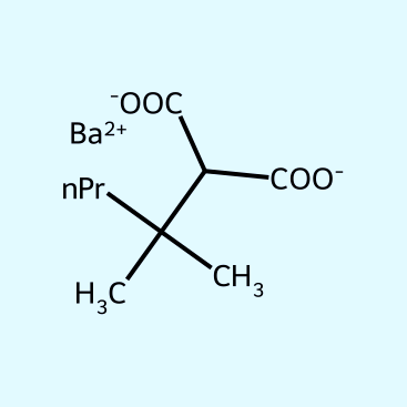 CCCC(C)(C)C(C(=O)[O-])C(=O)[O-].[Ba+2]